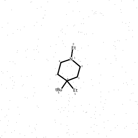 CCN1CCC(CC)(C(C)(C)C)CC1